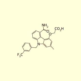 Cc1cc(OCC(=O)O)c2c3c(C(N)=O)cccc3n(Cc3cccc(C(F)(F)F)c3)c2c1